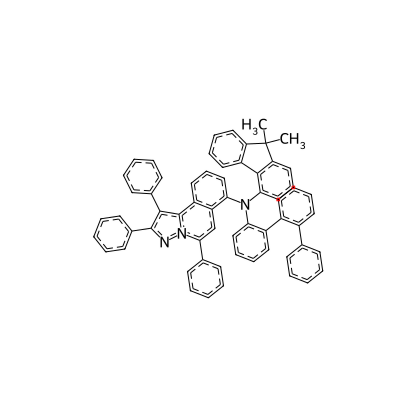 CC1(C)c2ccccc2-c2c(N(c3ccccc3-c3ccccc3-c3ccccc3)c3cccc4c3cc(-c3ccccc3)n3nc(-c5ccccc5)c(-c5ccccc5)c43)cccc21